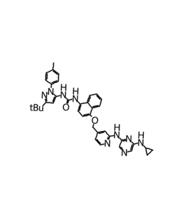 Cc1ccc(-n2nc(C(C)(C)C)cc2NC(=O)Nc2ccc(OCc3ccnc(Nc4cncc(NC5CC5)n4)c3)c3ccccc23)cc1